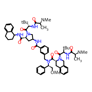 CN[C@@H](C)C(=O)NC(C(=O)N1Cc2ccccc2C[C@H]1C(=O)N(Cc1cccc(C(=O)NC2C[C@@H](C(=O)NC3CCCc4ccccc43)N(C(=O)[C@@H](NC(=O)[C@H](C)NC)C(C)(C)C)C2)c1)[C@@H](COC)c1ccccc1)C(C)(C)C